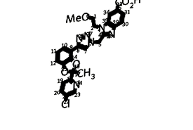 COCCn1c(Cn2cc(-c3cccc4c3OC(C)(c3ccc(Cl)cn3)O4)nn2)nc2ccc(C(=O)O)cc21